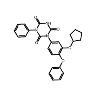 O=c1[nH]c(=O)n(-c2ccc(Oc3ccccc3)c(OC3CCCC3)c2)c(=O)n1-c1ccccc1